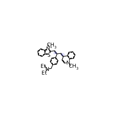 CCN(CC)Cc1ccc(C(=C\c2sc3ccccc3[n+]2C)/C=C2\C=CN(C)c3ccccc32)cc1